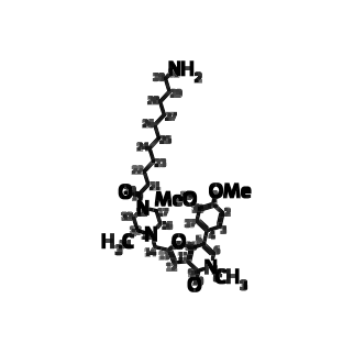 COc1ccc(-c2cn(C)c(=O)c3cc(CN4CCN(C(=O)CCCCCCCCCCN)C[C@H]4C)oc23)cc1OC